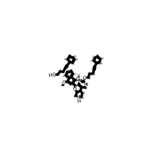 COc1cc(COC2CNCCC2c2cnc(OCCCC#Cc3ccccc3)nc2)c(OC)c2ccccc12.OCCCC#Cc1ccccc1